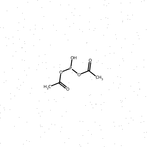 CC(=O)OP(O)OC(C)=O